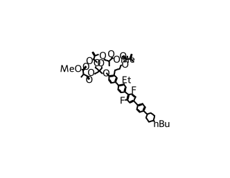 C=C(C)C(=O)OCCCc1cc(-c2ccc(-c3c(F)cc(-c4ccc(C5CCC(CCCC)CC5)cc4)cc3F)cc2CC)ccc1OCC(COC(=O)C(=C)C)(COC(=O)C(C)C(=O)OC)COC(=O)C(C)C(=O)OC